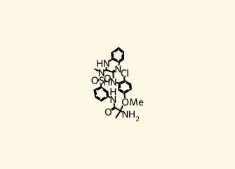 COc1ccc(Cl)c(NC2=Nc3ccccc3NC2N(C)S(=O)(=O)c2cccc(NC(=O)C(C)(C)N)c2)c1